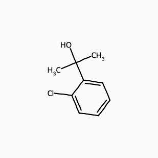 CC(C)(O)c1ccccc1Cl